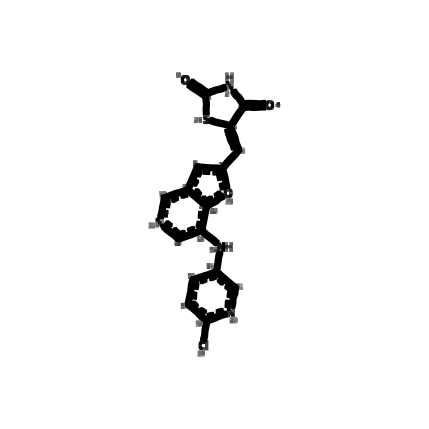 O=C1NC(=O)/C(=C/c2cc3cncc(Nc4ccc(Cl)nc4)c3o2)S1